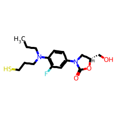 CCCN(CCCS)c1ccc(N2C[C@H](CO)OC2=O)cc1F